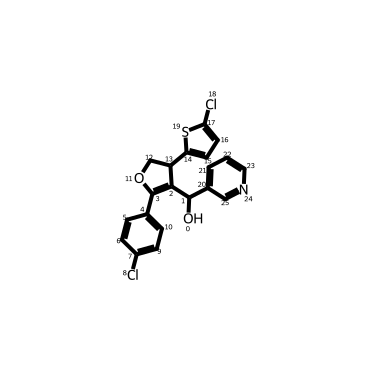 OC(C1=C(c2ccc(Cl)cc2)OCC1c1ccc(Cl)s1)c1cccnc1